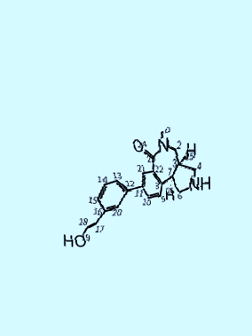 CN1C[C@@H]2CNC[C@H]2c2ccc(-c3cccc(CCO)c3)cc2C1=O